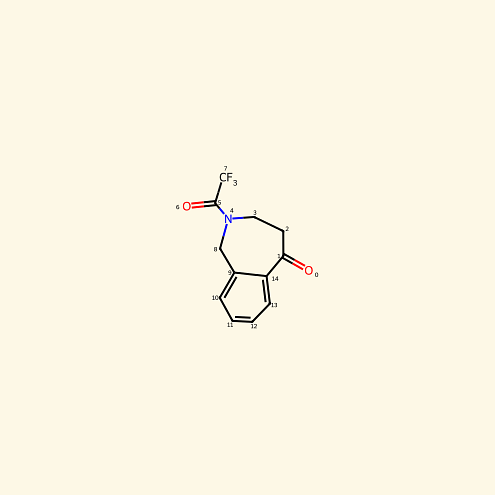 O=C1CCN(C(=O)C(F)(F)F)Cc2ccccc21